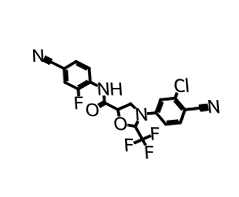 N#Cc1ccc(NC(=O)C2CN(c3ccc(C#N)c(Cl)c3)C(C(F)(F)F)O2)c(F)c1